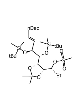 CCCCCCCCCCC=C[C@H](O[Si](C)(C)C(C)(C)C)[C@H](O[Si](C)(C)C(C)(C)C)[C@H]1OC(C)(C)O[C@H]1[C@@H](CC)OS(C)(=O)=O